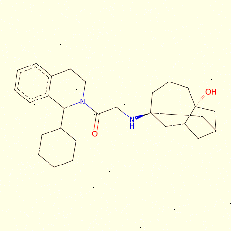 O=C(CN[C@]12CCC[C@@]3(O)CC(CC3C1)C2)N1CCc2ccccc2C1C1CCCCC1